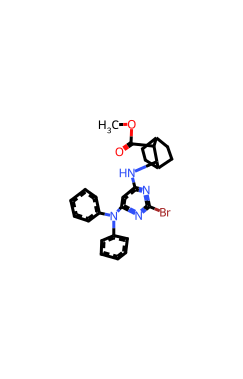 COC(=O)C1C2CCC(CC2)C1Nc1cc(N(c2ccccc2)c2ccccc2)nc(Br)n1